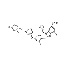 O=C(O)c1cc(F)c2nc(Cc3ccc(Oc4ccnc(COc5ccc(Cl)cc5F)c4)cc3F)n(C[C@@H]3CCO3)c2c1